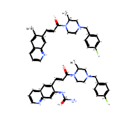 CC(=O)Nc1cc2cccnc2cc1/C=C/C(=O)N1CCN(Cc2ccc(F)cc2)CC1C.CC1CN(Cc2ccc(F)cc2)CCN1C(=O)/C=C/c1cc2cccnc2cc1NC(N)=O